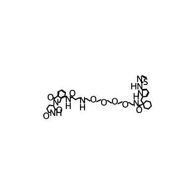 O=C1CCC(N2Cc3c(NC(=O)CCNCCOCCOCCOCCOCCNC(=O)C4(Cc5cccc(Nc6nccs6)n5)CCCCC4)cccc3C2=O)C(=O)N1